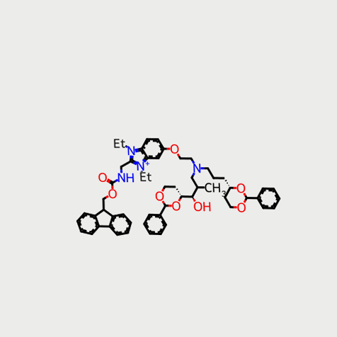 CCn1c(CNC(=O)OCC2c3ccccc3-c3ccccc32)[n+](CC)c2cc(OCCN(CCC[C@H]3CCOC(c4ccccc4)O3)CC(C)[C@@H](O)[C@H]3CCOC(c4ccccc4)O3)ccc21